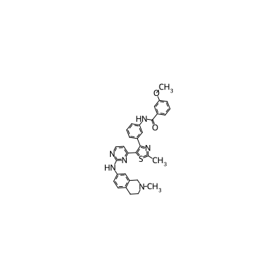 COc1cccc(C(=O)Nc2cccc(-c3nc(C)sc3-c3ccnc(Nc4ccc5c(c4)CN(C)CC5)n3)c2)c1